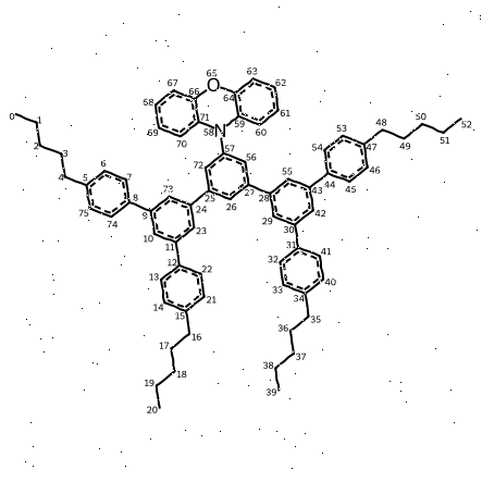 CCCCCc1ccc(-c2cc(-c3ccc(CCCCC)cc3)cc(-c3cc(-c4cc(-c5ccc(CCCCC)cc5)cc(-c5ccc(CCCCC)cc5)c4)cc(N4c5ccccc5Oc5ccccc54)c3)c2)cc1